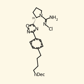 CCCCCCCCCCCCCCc1ccc(-c2noc([C@@H]3CCCN3C(N)=NCl)n2)cc1